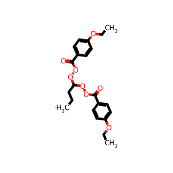 [CH2]CC[C](OOC(=O)c1ccc(OCC)cc1)OOC(=O)c1ccc(OCC)cc1